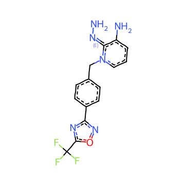 N/N=c1\c(N)cccn1Cc1ccc(-c2noc(C(F)(F)F)n2)cc1